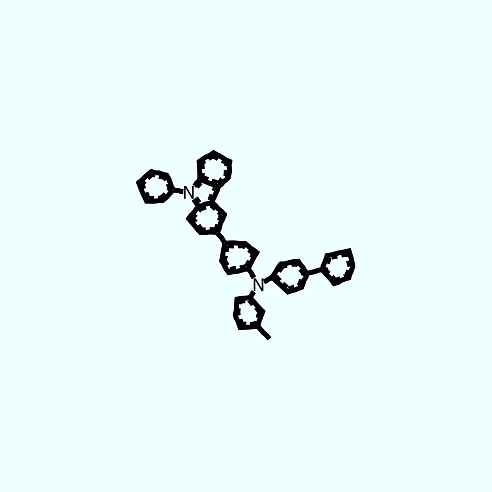 Cc1cccc(N(c2ccc(-c3ccccc3)cc2)c2ccc(-c3ccc4c(c3)c3ccccc3n4-c3ccccc3)cc2)c1